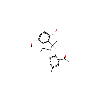 CCCC(C)(Pc1ccc(C)cc1C(C)=O)c1cc(OC)ccc1OC